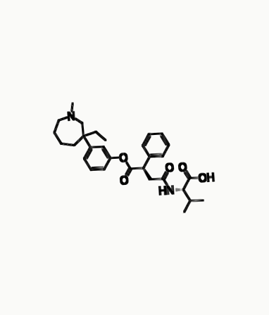 CCC1(c2cccc(OC(=O)[C@H](CC(=O)N[C@H](C(=O)O)C(C)C)c3ccccc3)c2)CCCCN(C)C1